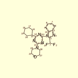 FC(F)c1nc2ccccc2n1-c1nc(C2CCCCC2)nc(N2CCOCC2)n1